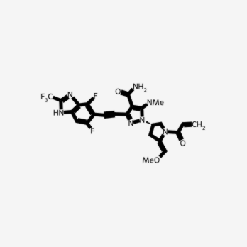 C=CC(=O)N1C[C@@H](n2nc(C#Cc3c(F)cc4[nH]c(C(F)(F)F)nc4c3F)c(C(N)=O)c2NC)C/C1=C\OC